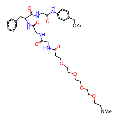 CNCCOCCOCCOCCOCCC(=O)NCC(=O)NCC(=O)N[C@@H](Cc1ccccc1)C(=O)NCC(=O)Nc1ccc(COC(C)=O)cc1